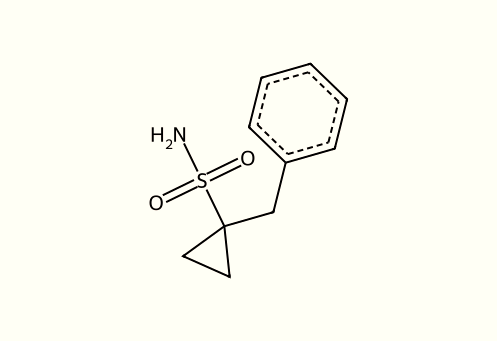 NS(=O)(=O)C1(Cc2ccccc2)CC1